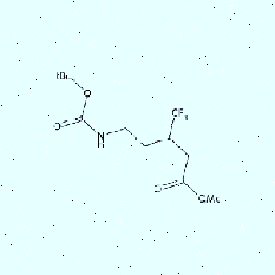 COC(=O)CC(CCNC(=O)OC(C)(C)C)C(F)(F)F